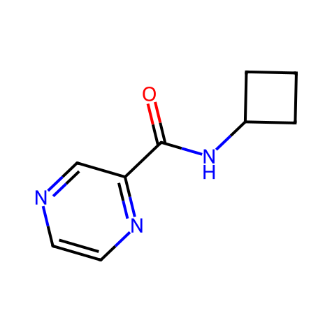 O=C(NC1CCC1)c1cnccn1